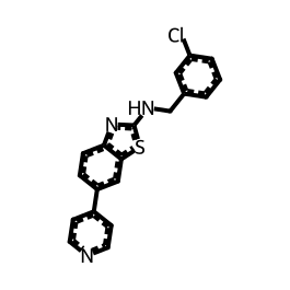 Clc1cccc(CNc2nc3ccc(-c4ccncc4)cc3s2)c1